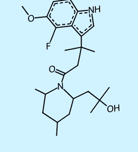 COc1ccc2[nH]cc(C(C)(C)CC(=O)N3C(C)CC(C)CC3CC(C)(C)O)c2c1F